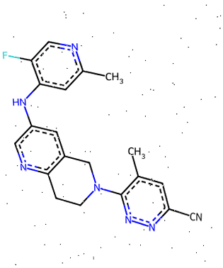 Cc1cc(Nc2cnc3c(c2)CN(c2nnc(C#N)cc2C)CC3)c(F)cn1